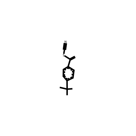 [CH]=C(SC#N)c1ccc(C(C)(C)C)cc1